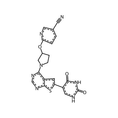 N#Cc1ccc(OC2CCN(c3ncnc4sc(-c5c[nH]c(=O)[nH]c5=O)cc34)C2)nc1